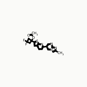 CC(=O)OC1(c2cc3ccc(-c4cnc5nc(C)cn5c4)nc3s2)CC(F)(F)C1